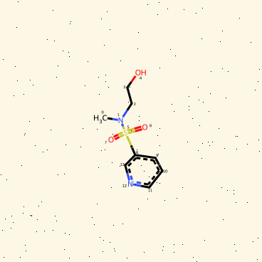 CN(CCO)S(=O)(=O)c1cccnc1